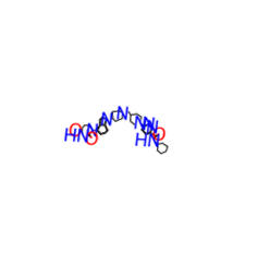 O=C1CCN(c2cccc3c2ccn3C2CCN(CC3CCN(c4ccc(C(=O)NC5CCCCC5)nn4)CC3)CC2)C(=O)N1